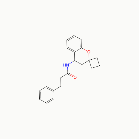 O=C(/C=C/c1ccccc1)NC1CC2(CCC2)Oc2ccccc21